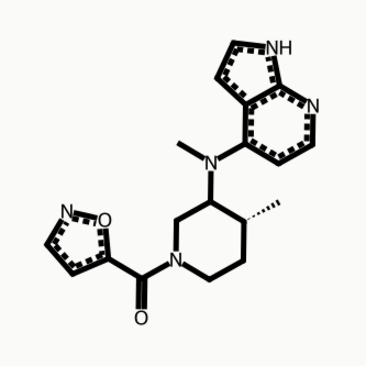 C[C@@H]1CCN(C(=O)c2ccno2)CC1N(C)c1ccnc2[nH]ccc12